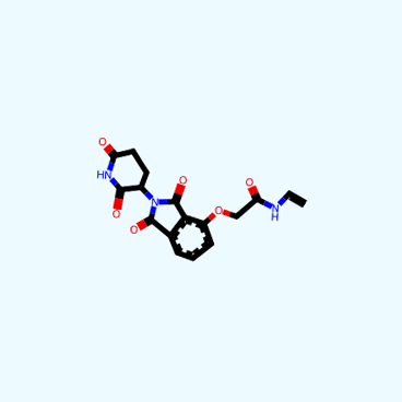 C=CNC(=O)COc1cccc2c1C(=O)N(C1CCC(=O)NC1=O)C2=O